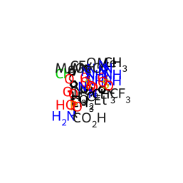 CCOC(=O)COC(=O)c1cc(Oc2ccc(C(F)(F)F)cc2Cl)ccc1[N+](=O)[O-].COc1cc(OC)nc(NC(=O)NS(=O)(=O)c2ncccc2C(=O)N(C)C)n1.COc1nc(C)nc(NC(=O)NS(=O)(=O)c2ccccc2CCC(F)(F)F)n1.CP(=O)(O)CCC(N)C(=O)O